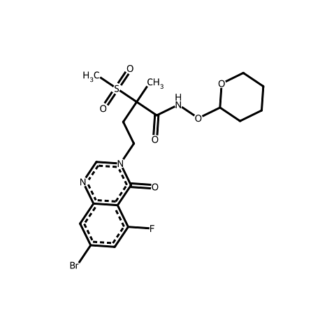 CC(CCn1cnc2cc(Br)cc(F)c2c1=O)(C(=O)NOC1CCCCO1)S(C)(=O)=O